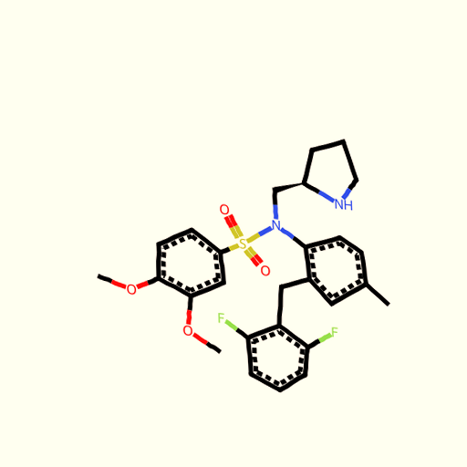 COc1ccc(S(=O)(=O)N(C[C@H]2CCCN2)c2ccc(C)cc2Cc2c(F)cccc2F)cc1OC